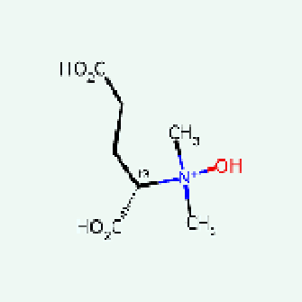 C[N+](C)(O)[C@@H](CCC(=O)O)C(=O)O